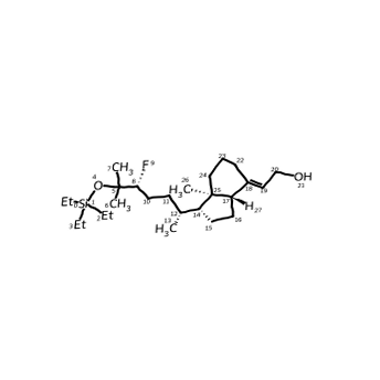 CC[Si](CC)(CC)OC(C)(C)[C@H](F)CC[C@@H](C)[C@H]1CC[C@H]2C(=CCO)CCC[C@]12C